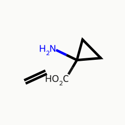 C=C.NC1(C(=O)O)CC1